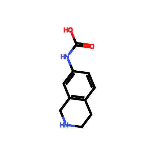 O=C(O)Nc1ccc2c(c1)CNCC2